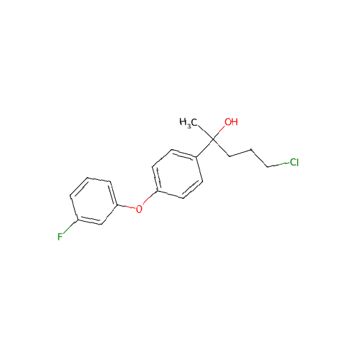 CC(O)(CCCCl)c1ccc(Oc2cccc(F)c2)cc1